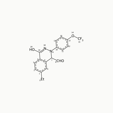 CCc1ccc2c(c1)C(C=O)N(c1ccc(OC(F)(F)F)cc1)N=C2O